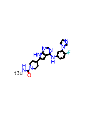 CC(C)(C)NC(=O)N1CC=C(c2cc3c(Nc4ccc(F)c(-n5ccnc5)c4)ncnc3[nH]2)CC1